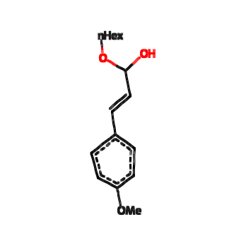 CCCCCCOC(O)/C=C/c1ccc(OC)cc1